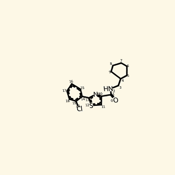 O=C(NCC1CCCCC1)c1csc(-c2ccccc2Cl)n1